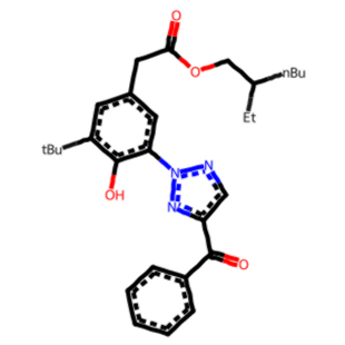 CCCCC(CC)COC(=O)Cc1cc(-n2ncc(C(=O)c3ccccc3)n2)c(O)c(C(C)(C)C)c1